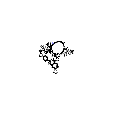 COc1ccc(-c2nc(O[C@@H]3C[C@H]4C(=O)N[C@]5(C(=O)NS(=O)(=O)C6CC6)C[C@H]5/C=C\CC[C@@H](C)C[C@@H](C)[C@H](NC(=O)OC(C)(C)C)C(=O)N4C3)c3ccc(OC)cc3n2)cc1